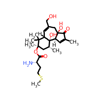 CSCC[C@H](N)C(=O)O[C@]1(C)C[C@@H](C)[C@@]2(O)[C@@H](C=C(CO)C[C@]3(O)C(=O)C(C)=C[C@@H]23)C1(C)C